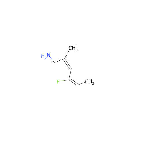 C/C=C(F)\C=C(\C)CN